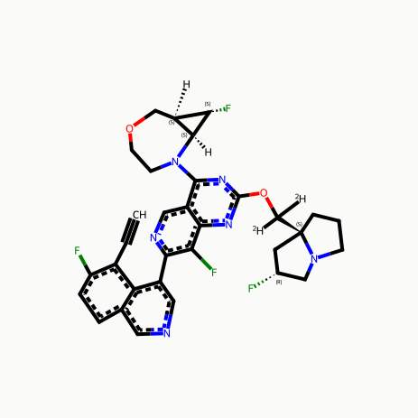 [2H]C([2H])(Oc1nc(N2CCOC[C@H]3[C@H](F)[C@H]32)c2cnc(-c3cncc4ccc(F)c(C#C)c34)c(F)c2n1)[C@@]12CCCN1C[C@H](F)C2